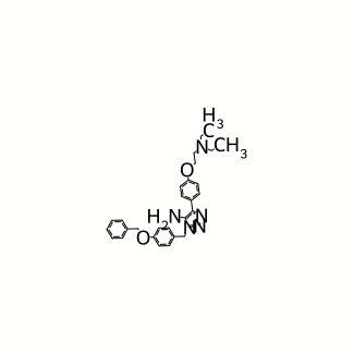 CCN(CC)CCOc1ccc(-c2nnn(Cc3ccc(OCc4ccccc4)cc3)c2N)cc1